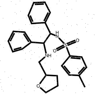 Cc1ccc(S(=O)(=O)NC(c2ccccc2)C(NCC2CCCO2)c2ccccc2)cc1